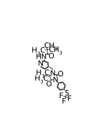 CC(C)(C)C(=O)Nc1cc(CN2C(=O)N(c3ccc(SC(F)(F)F)cc3)C(=O)C2(C)C)ccn1